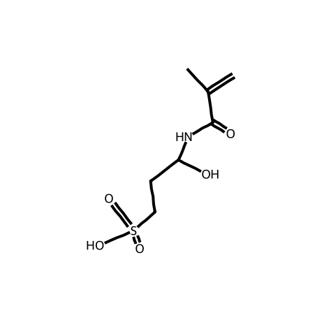 C=C(C)C(=O)NC(O)CCS(=O)(=O)O